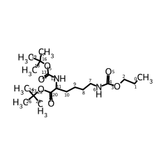 CCCOC(=O)NCCCCC(NC(=O)OC(C)(C)C)C(=O)OC(C)(C)C